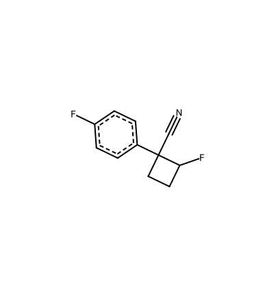 N#CC1(c2ccc(F)cc2)CCC1F